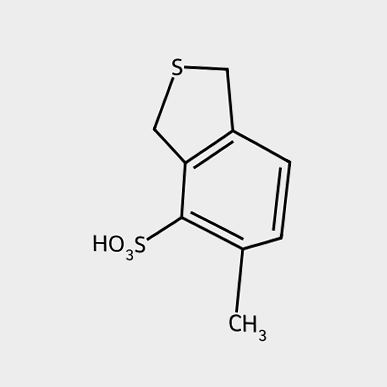 Cc1ccc2c(c1S(=O)(=O)O)CSC2